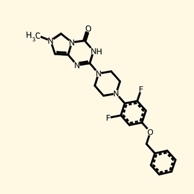 CN1C=C2N=C(N3CCN(c4c(F)cc(OCc5ccccc5)cc4F)CC3)NC(=O)N2C1